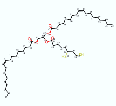 CCCCCCCC/C=C\CCCCCCCC(=O)OCC(COC(=O)CCCCCCC/C=C\CCCCCCCC)OC(=O)CCCCC(S)CCS